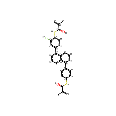 C=C(C)C(=O)Sc1ccc(-c2cccc3c(-c4ccc(SC(=O)C(=C)C)c(F)c4)cccc23)cc1